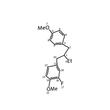 CCC(Cc1ccc(OC)cc1)Cc1ccc(OC)c(F)c1